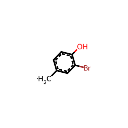 [CH2]c1ccc(O)c(Br)c1